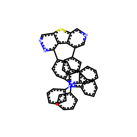 c1ccc(-n2c3ccccc3c3cc(-c4cncc5sc6cnnc(-c7ccc8c(c7)c7ccccc7n8-c7ccccc7)c6c45)ccc32)cc1